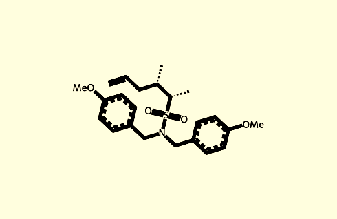 C=CC[C@H](C)[C@H](C)S(=O)(=O)N(Cc1ccc(OC)cc1)Cc1ccc(OC)cc1